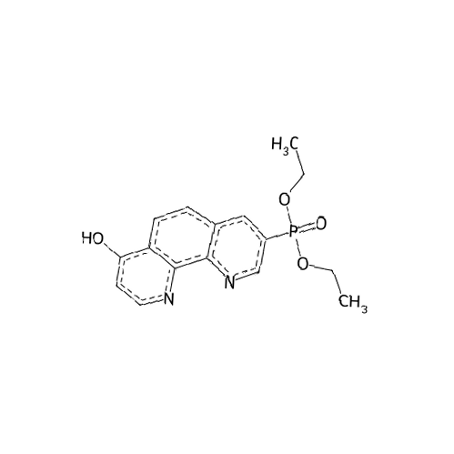 CCOP(=O)(OCC)c1cnc2c(ccc3c(O)ccnc32)c1